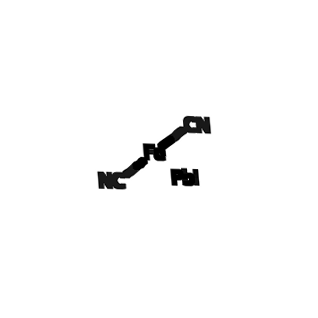 N#[C][Fe][C]#N.[Pb]